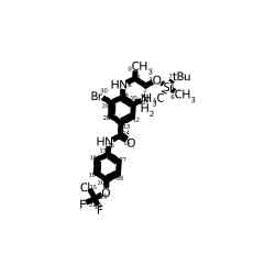 CC(CO[Si](C)(C)C(C)(C)C)Nc1c(N)cc(C(=O)Nc2ccc(OC(F)(F)Cl)cc2)cc1Br